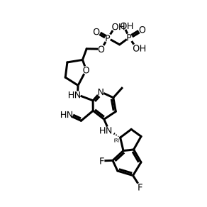 Cc1cc(N[C@@H]2CCc3cc(F)cc(F)c32)c(C=N)c(NC2CCC(COP(=O)(O)CP(=O)(O)O)O2)n1